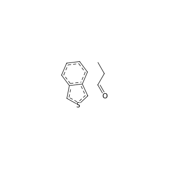 CCC=O.c1ccc2cscc2c1